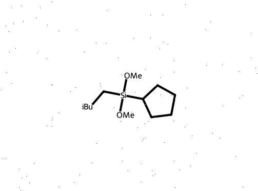 CCC(C)C[Si](OC)(OC)C1CCCC1